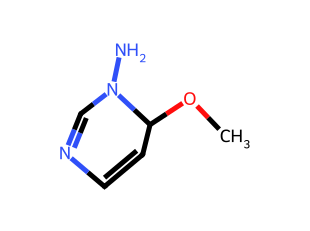 COC1C=CN=CN1N